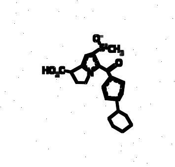 C[S+]([O-])c1cc2n(c1C(=O)c1ccc(C3CCCCC3)cc1)CCC2C(=O)O